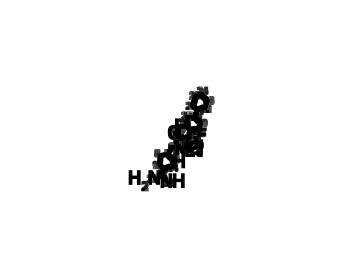 CCO[C@H](C(=O)NCc1ccc(C(=N)N)cc1)c1c(F)cc(-c2ccccc2)cc1F.Cl